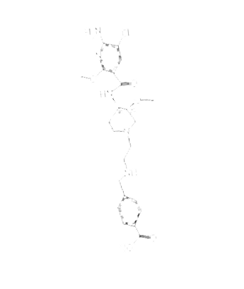 COc1nc(N)c(Cl)cc1C(=O)N[C@@H]1CCN(CCNCc2ccc(C(=O)O)cc2)C[C@@H]1OC